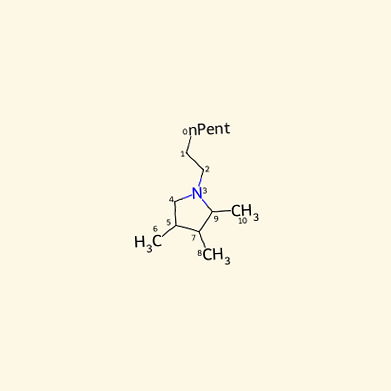 CCCCCCCN1CC(C)C(C)C1C